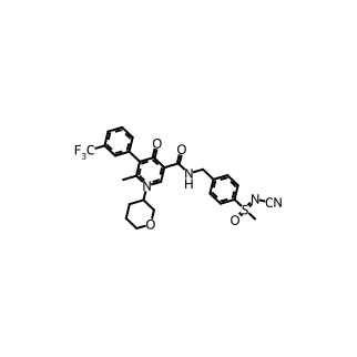 Cc1c(-c2cccc(C(F)(F)F)c2)c(=O)c(C(=O)NCc2ccc(S(C)(=O)=NC#N)cc2)cn1C1CCCOC1